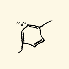 [CH2]c1ccc(C)cc1.[MgH2]